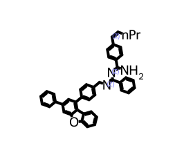 CCC/C=C\c1ccc(/C(N)=N/C(=N\Cc2ccc(-c3cc(-c4ccccc4)cc4oc5ccccc5c34)cc2)c2ccccc2)cc1